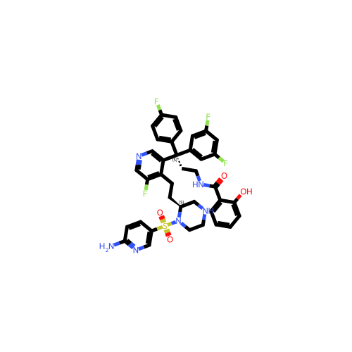 Nc1ccc(S(=O)(=O)N2CCNC[C@@H]2CCc2c(F)cncc2[C@@](CCNC(=O)c2ccccc2O)(c2ccc(F)cc2)c2cc(F)cc(F)c2)cn1